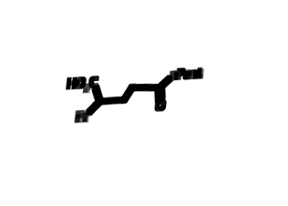 CCCCCC(=O)CCC(CC)C(=O)O